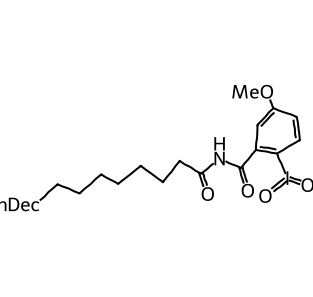 CCCCCCCCCCCCCCCCCC(=O)NC(=O)c1cc(OC)ccc1I(=O)=O